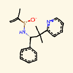 C=C(C)[S@@+]([O-])N[C@@H](c1ccccc1)C(C)(C)c1ccccn1